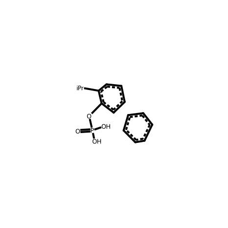 CC(C)c1ccccc1OP(=O)(O)O.c1ccccc1